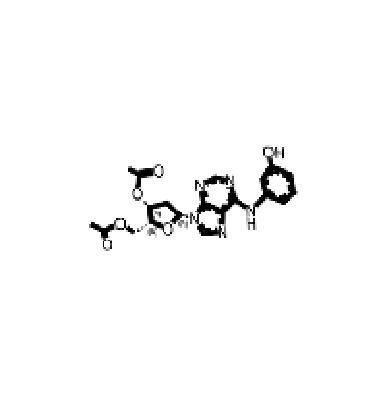 CC(=O)OC[C@H]1O[C@@H](n2cnc3c(Nc4cccc(O)c4)ncnc32)C[C@H]1OC(C)=O